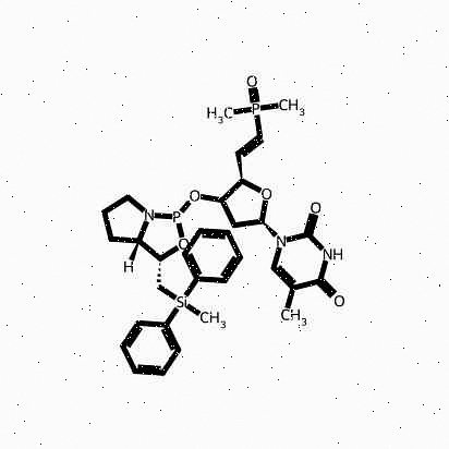 Cc1cn([C@H]2CC(OP3O[C@H](C[Si](C)(c4ccccc4)c4ccccc4)[C@@H]4CCCN43)[C@@H](/C=C/P(C)(C)=O)O2)c(=O)[nH]c1=O